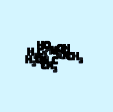 CC(CN(C)C)[CH](O)[Ni][CH](O)C(C)CN(C)C